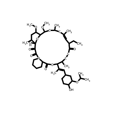 CCC1/C=C(\C)CC(C)CC(OC)C2OC(O)(C(=O)C(=O)N3CCCCC3C(=O)OC(C(C)=CC3CCC(O)C(OC(C)C)C3)C(C)CCC1=O)C(C)CC2OC